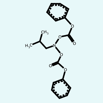 CC(C)CN(OC(=O)Oc1ccccc1)OC(=O)Oc1ccccc1